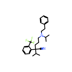 CC(C)N(CCCC(C#N)(c1ccccc1C(F)(F)F)C(C)C)CCc1ccccc1